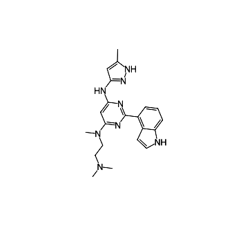 Cc1cc(Nc2cc(N(C)CCN(C)C)nc(-c3cccc4[nH]ccc34)n2)n[nH]1